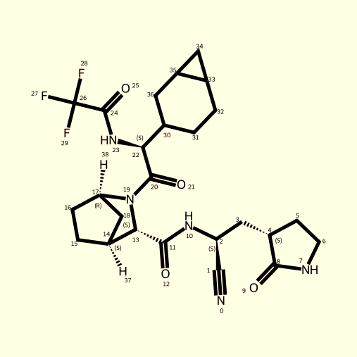 N#C[C@H](C[C@@H]1CCNC1=O)NC(=O)[C@@H]1[C@H]2CC[C@H](C2)N1C(=O)[C@@H](NC(=O)C(F)(F)F)C1CCC2CC2C1